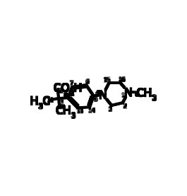 CN1CCN(c2ccc(C(C)(C)C(=O)O)cc2)CC1